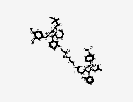 CCC(C)(C)C(=O)C(=O)N1CCCC[C@@]1(C(=O)O)[C@H](CCc1ccc(OC)c(OC)c1)c1cccc(OCC(=O)NCCCOC(=O)N[C@@H](Cc2ccccc2)[C@H](O)CN(CC(C)C)S(=O)(=O)c2ccc([N+](=O)[O-])cc2)c1